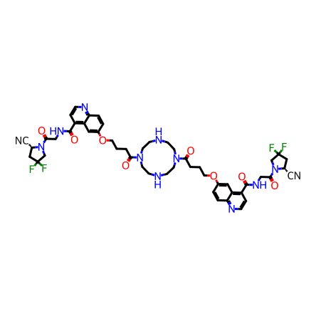 N#C[C@@H]1CC(F)(F)CN1C(=O)CNC(=O)c1ccnc2ccc(OCCCC(=O)N3CCNCCN(C(=O)CCCOc4ccc5nccc(C(=O)NCC(=O)N6CC(F)(F)C[C@H]6C#N)c5c4)CCNCC3)cc12